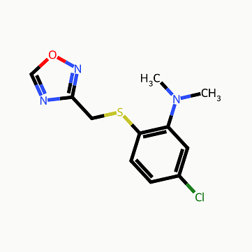 CN(C)c1cc(Cl)ccc1SCc1ncon1